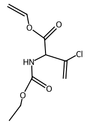 C=COC(=O)C(NC(=O)OCC)C(=C)Cl